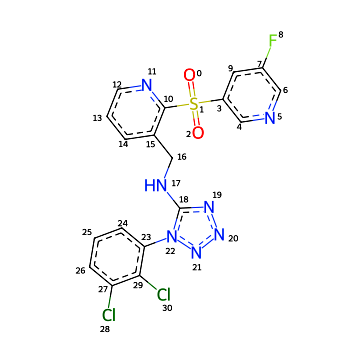 O=S(=O)(c1cncc(F)c1)c1ncccc1CNc1nnnn1-c1cccc(Cl)c1Cl